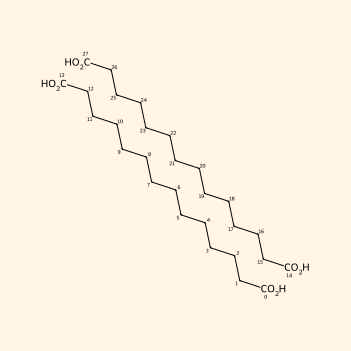 O=C(O)CCCCCCCCCCCCC(=O)O.O=C(O)CCCCCCCCCCCCC(=O)O